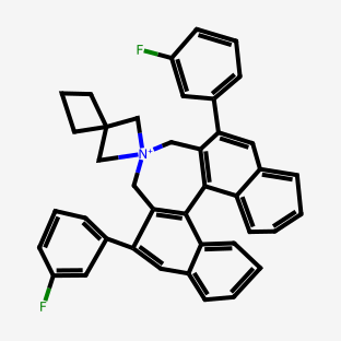 Fc1cccc(-c2cc3ccccc3c3c2C[N+]2(Cc4c(-c5cccc(F)c5)cc5ccccc5c4-3)CC3(CCC3)C2)c1